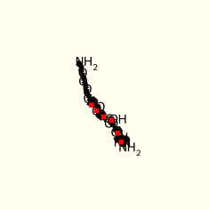 NCCCOCCOCCOCCOc1ccc(C(=O)Oc2ccc(CSP(=O)(O)OC[C@@H]3CC[C@H](n4cnc5c(N)ncnc54)O3)cc2)cc1